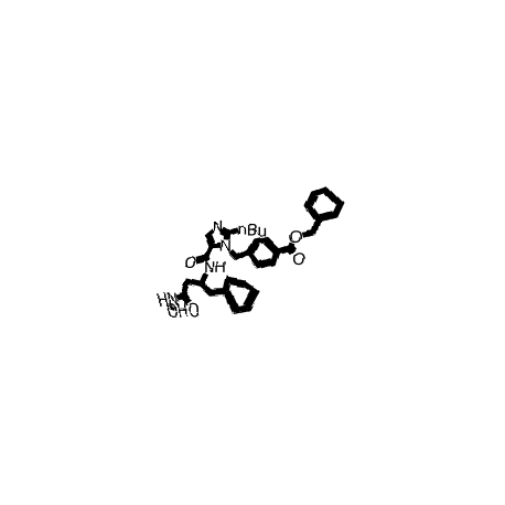 CCCCc1ncc(C(=O)NC(CC(=O)NO)Cc2ccccc2)n1Cc1ccc(C(=O)OCc2ccccc2)cc1